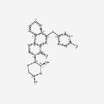 CC(=O)N1CC[C@@H](n2cnc3c(cc(Cc4ccc(Cl)nc4)c4ccccc43)c2=O)[C@@H](O)C1